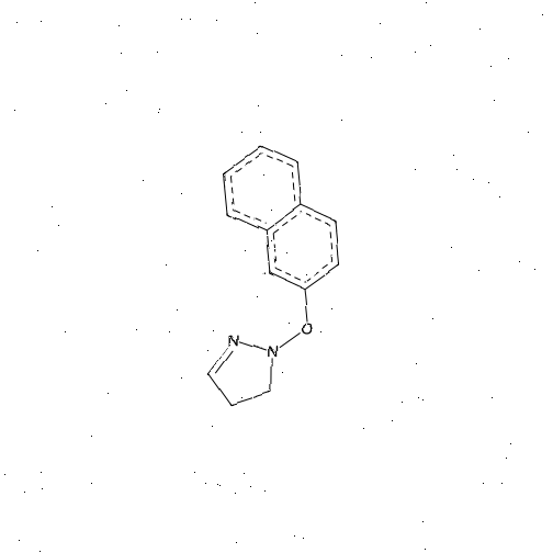 [c]1c(ON2CCC=N2)ccc2ccccc12